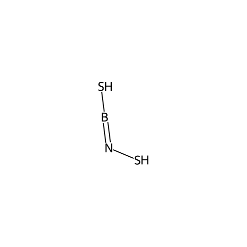 S/B=N/S